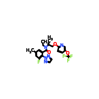 CCN(C(=O)c1cc(C)cc(F)c1-n1nccn1)[C@@H](C)COc1ccc(OC(F)(F)F)cn1